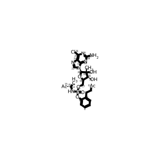 CC(=O)CCc1ccccc1OP(=O)(N[C@@H](C)C(C)=O)OCC1O[C@@H](n2cnc3c(Cl)nc(N)nc32)[C@](C)(O)[C@@H]1O